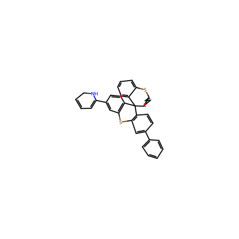 C1=CCNC(c2ccc3c(c2)Sc2cc(-c4ccccc4)ccc2C32c3ccccc3Sc3ccccc32)=C1